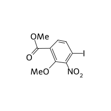 COC(=O)c1ccc(I)c([N+](=O)[O-])c1OC